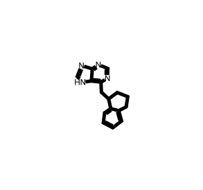 c1ccc2c(c1)CCCC2Cc1ncnc2nc[nH]c12